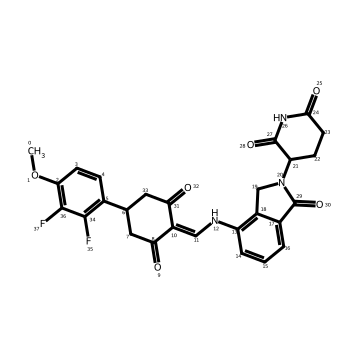 COc1ccc(C2CC(=O)C(=CNc3cccc4c3CN(C3CCC(=O)NC3=O)C4=O)C(=O)C2)c(F)c1F